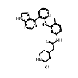 Cc1ccc(NC(=O)C[C@@H]2CCN[C@@H](C(F)(F)F)C2)cc1Nc1ncccc1-c1ncnc2[nH]cnc12